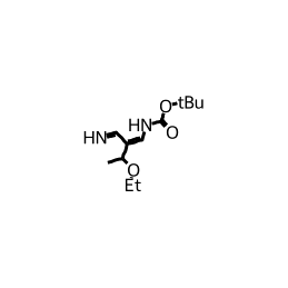 CCOC(C)/C(C=N)=C/NC(=O)OC(C)(C)C